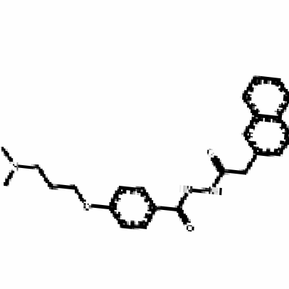 CN(C)CCCOc1ccc(C(=O)NNC(=O)Cc2ccc3ccccc3c2)cc1